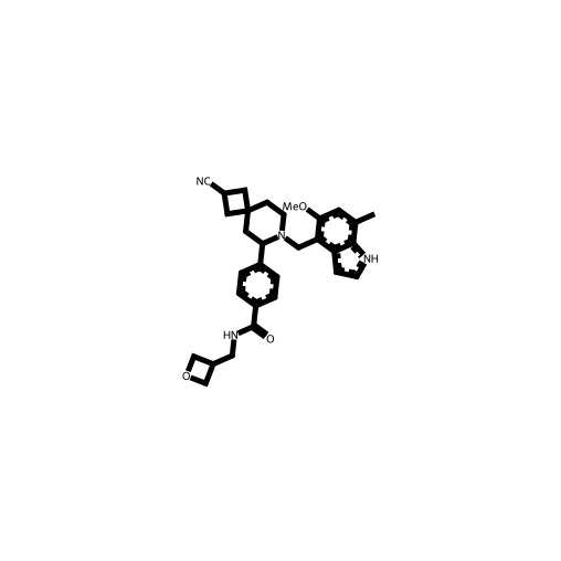 COc1cc(C)c2[nH]ccc2c1CN1CCC2(CC(C#N)C2)CC1c1ccc(C(=O)NCC2COC2)cc1